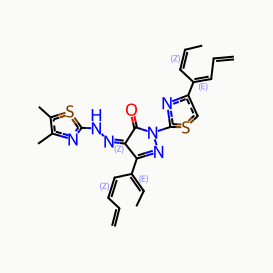 C=C/C=C\C(=C/C)C1=NN(c2nc(C(/C=C\C)=C/C=C)cs2)C(=O)/C1=N\Nc1nc(C)c(C)s1